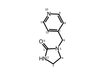 O=C1NCCN1Cc1ccncc1